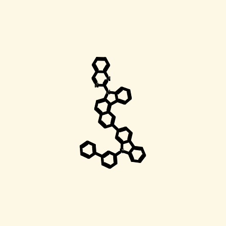 c1ccc(-c2cccc(-n3c4ccccc4c4ccc(-c5ccc6ccc7c(c6c5)c5ccccc5n7-c5ncc6ccccc6n5)cc43)c2)cc1